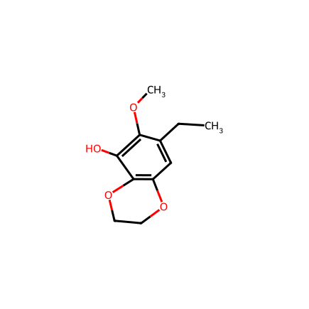 CCc1cc2c(c(O)c1OC)OCCO2